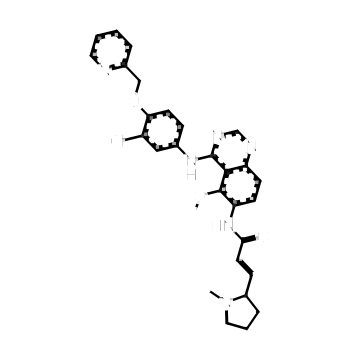 CCOc1c(NC(=O)C=CC2CCCN2C)ccc2ncnc(Nc3ccc(OCc4ccccn4)c(Cl)c3)c12